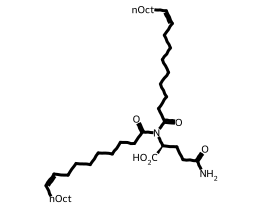 CCCCCCCC/C=C\CCCCCCCC(=O)N(C(=O)CCCCCCC/C=C\CCCCCCCC)[C@@H](CCC(N)=O)C(=O)O